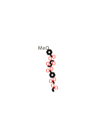 C=CC(=O)OCC(=O)Oc1ccc(C(=O)OC2COC3C(OC(=O)c4ccc(OC)cc4)COC23)cc1